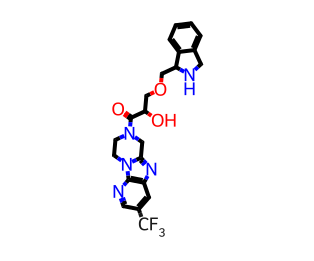 O=C(C(O)COCC1NCc2ccccc21)N1CCn2c(nc3cc(C(F)(F)F)cnc32)C1